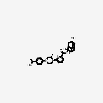 CC(O)c1ccc(N2CCN(c3cccc(C(=O)N[C@H]4C5CC6CC4C[C@](O)(C6)C5)n3)[C@H](C)C2)cc1